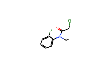 CC(C)N(C(=O)CCl)c1ccccc1Cl